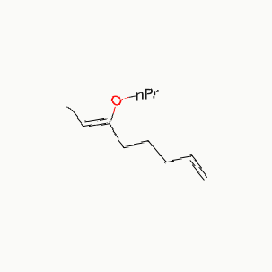 C=CCCC/C(=C/C)OCCC